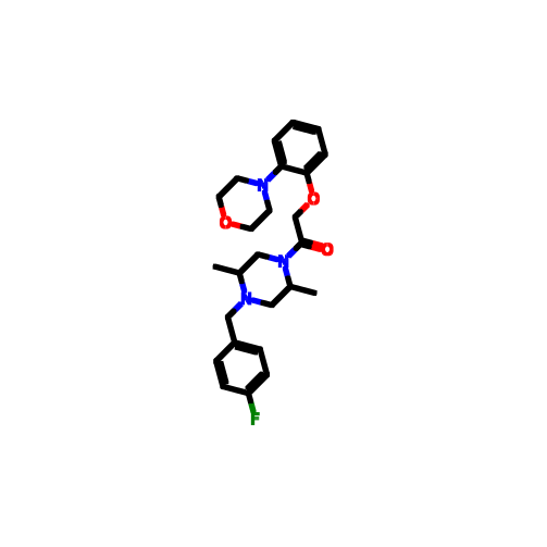 CC1CN(C(=O)COc2ccccc2N2CCOCC2)C(C)CN1Cc1ccc(F)cc1